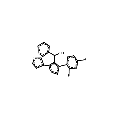 OC(c1cccnc1)c1c(-c2ccc(F)cc2F)coc1-c1ccsc1